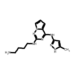 Cc1cc(Nc2nc(NCCCCN)nn3cccc23)n[nH]1